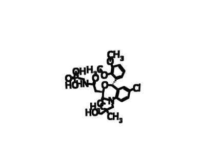 COc1cccc([C@H]2O[C@H](CC(=O)NCP(=O)(O)O)C(=O)N(CC(C)(C)CO)c3ccc(Cl)cc32)c1OC